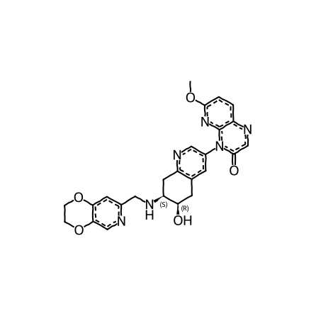 COc1ccc2ncc(=O)n(-c3cnc4c(c3)C[C@@H](O)[C@@H](NCc3cc5c(cn3)OCCO5)C4)c2n1